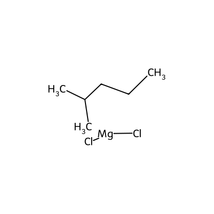 CCCC(C)C.[Cl][Mg][Cl]